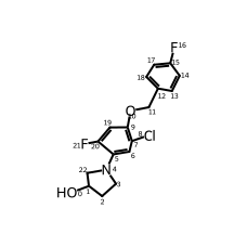 OC1CCN(c2cc(Cl)c(OCc3ccc(F)cc3)cc2F)C1